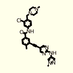 Cc1ccc(C(=O)Nc2ccc(CN3CCN(C)CC3)c(Cl)c2)cc1C#Cc1cnc(Nc2cnn(C)c2)nc1